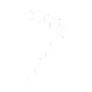 CCCOCCOC(=O)CCCC(=O)O[C@]1(CC)C(=O)OCc2c1cc1n(c2=O)Cc2cc3ccccc3nc2-1